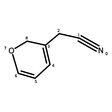 N#CCC1=CC=COC1